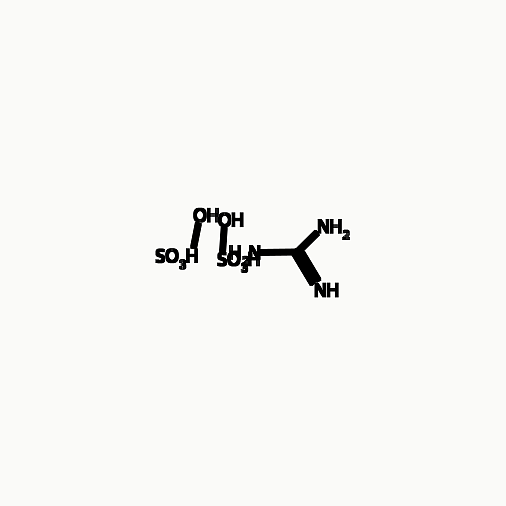 N=C(N)N.O=S(=O)(O)O.O=S(=O)(O)O